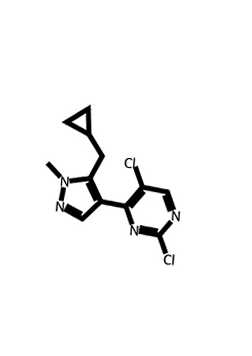 Cn1ncc(-c2nc(Cl)ncc2Cl)c1CC1CC1